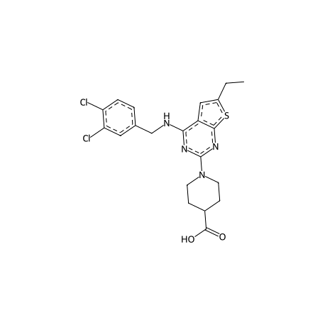 CCc1cc2c(NCc3ccc(Cl)c(Cl)c3)nc(N3CCC(C(=O)O)CC3)nc2s1